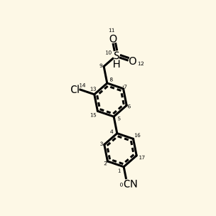 N#Cc1ccc(-c2c[c]c(C[SH](=O)=O)c(Cl)c2)cc1